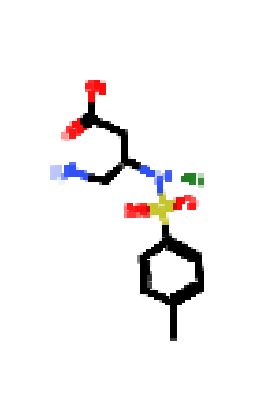 Cc1ccc(S(=O)(=O)N[C@@H](CN)CC(=O)O)cc1.Cl